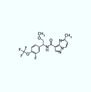 COCC(NC(=O)c1cnn2ccc(C)nc12)c1ccc(OC(F)(F)F)c(F)c1